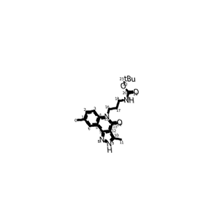 Cc1ccc2c(c1)c1n[nH]c(C)c1c(=O)n2CCCNC(=O)OC(C)(C)C